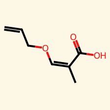 C=CCOC=C(C)C(=O)O